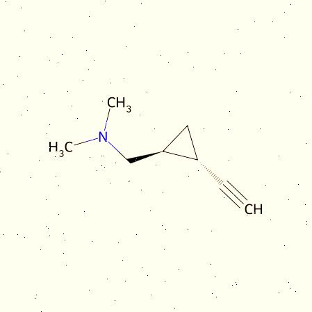 C#C[C@H]1C[C@@H]1CN(C)C